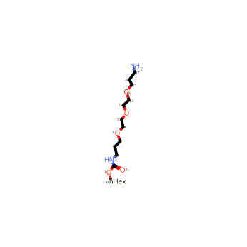 CCCCCCOC(=O)NCCCOCCOCCOCCCN